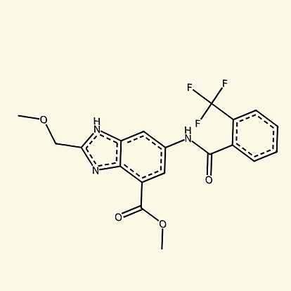 COCc1nc2c(C(=O)OC)cc(NC(=O)c3ccccc3C(F)(F)F)cc2[nH]1